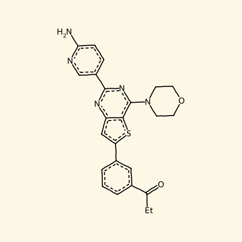 CCC(=O)c1cccc(-c2cc3nc(-c4ccc(N)nc4)nc(N4CCOCC4)c3s2)c1